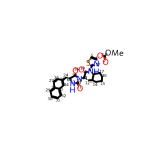 COC(=O)Oc1csc(NC(=O)[C@H](CC2CCCCC2)N2C(=O)N[C@@H](Cc3ccc4ccccc4c3)C2=O)n1